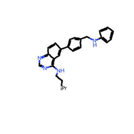 CC(C)CCNc1ncnc2ccc(-c3ccc(CNc4ccccc4)cc3)cc12